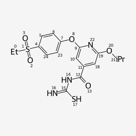 CCS(=O)(=O)c1ccc(Oc2cc(C(=O)NC(=N)S)cc(OC(C)C)n2)cc1